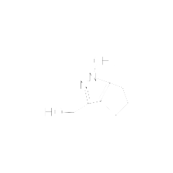 Cn1nc(CO)c2c1CCC2